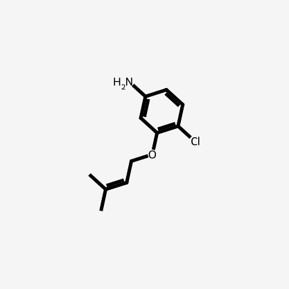 CC(C)=CCOc1cc(N)ccc1Cl